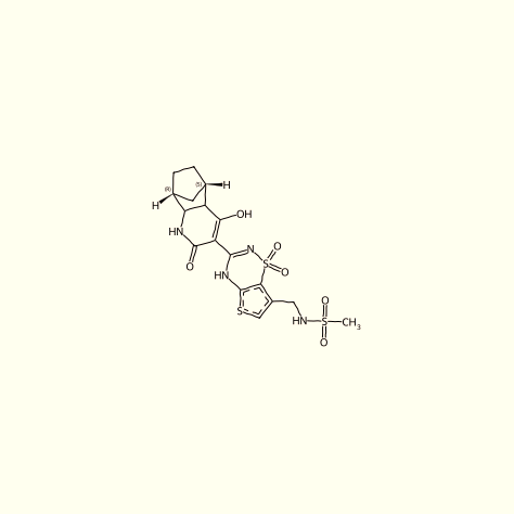 CS(=O)(=O)NCc1csc2c1S(=O)(=O)N=C(C1=C(O)C3C(NC1=O)[C@@H]1CC[C@H]3C1)N2